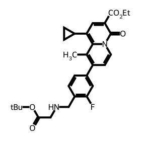 CCOC(=O)c1cc(C2CC2)c2c(C)c(-c3ccc(CNCC(=O)OC(C)(C)C)c(F)c3)ccn2c1=O